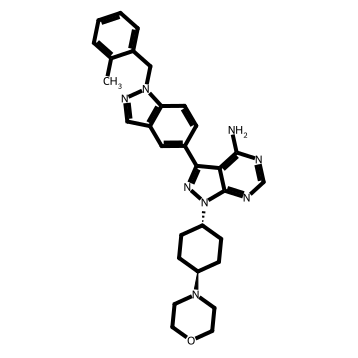 Cc1ccccc1Cn1ncc2cc(-c3nn([C@H]4CC[C@H](N5CCOCC5)CC4)c4ncnc(N)c34)ccc21